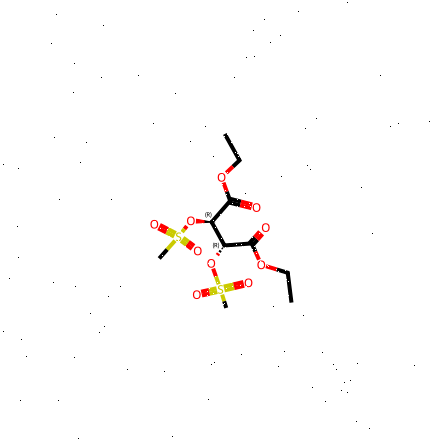 CCOC(=O)[C@H](OS(C)(=O)=O)[C@@H](OS(C)(=O)=O)C(=O)OCC